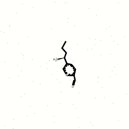 CCC[C@H](N)c1ccc(C=O)nc1